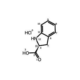 Cl.O=C(O)[C@@H]1Cc2ccccc2N1